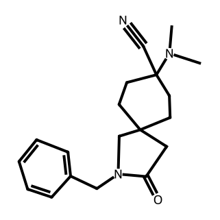 CN(C)C1(C#N)CCC2(CC1)CC(=O)N(Cc1ccccc1)C2